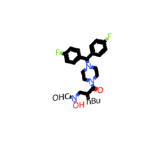 CCCCC(CN(O)C=O)C(=O)N1CCN(C(c2ccc(F)cc2)c2ccc(F)cc2)CC1